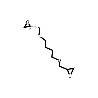 C(CCOC[C@@H]1CO1)COCC1CO1